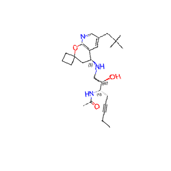 CCC#CC[C@H](NC(C)=O)[C@H](O)CN[C@H]1CC2(CCC2)Oc2ncc(CC(C)(C)C)cc21